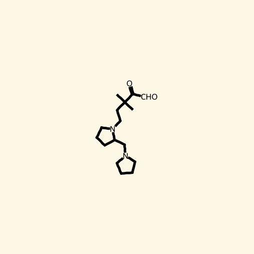 CC(C)(CCN1CCCC1CN1CCCC1)C(=O)C=O